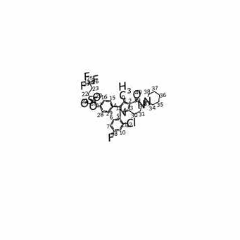 Cc1c2c(n(-c3ccc(F)cc3Cl)c1-c1ccc(OS(=O)(=O)CCC(F)(F)F)cc1)CCN(N1CCCCC1)C2=O